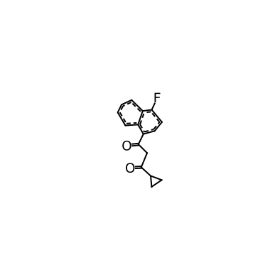 O=C(CC(=O)C1CC1)c1ccc(F)c2ccccc12